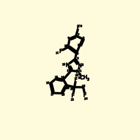 Cn1nc(-c2ccc(F)cc2F)nc1-c1ccccc1C(F)(F)CF